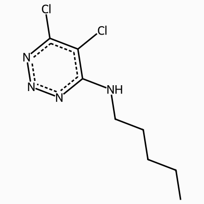 CCCCCNc1nnnc(Cl)c1Cl